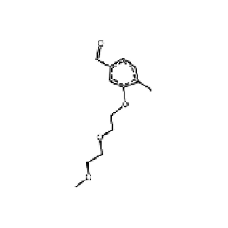 COCCOCCOc1cc(C=O)ccc1C